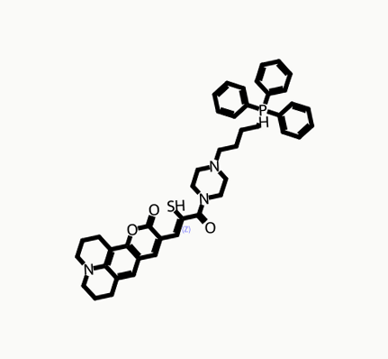 O=C(/C(S)=C/c1cc2cc3c4c(c2oc1=O)CCCN4CCC3)N1CCN(CCCC[PH](c2ccccc2)(c2ccccc2)c2ccccc2)CC1